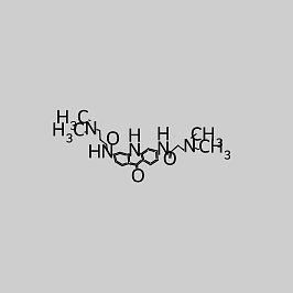 CCN(CC)CCC(=O)Nc1ccc2c(=O)c3ccc(NC(=O)CCN(CC)CC)cc3[nH]c2c1